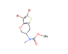 CN(C(=O)OC(C)(C)C)C1COc2c(sc(Br)c2Br)C1